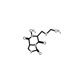 CCSCC1C(=O)N2C(=O)SCC2C(=O)N1C